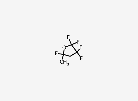 CC1(F)CC(F)(F)C(F)(F)O1